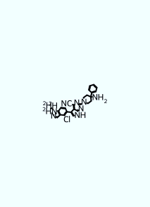 [2H]C([2H])([2H])n1ncc2c(Cl)c(-c3c[nH]c4nc(N5CCC(N)(c6ccccc6)CC5)nc(C#N)c34)ccc21